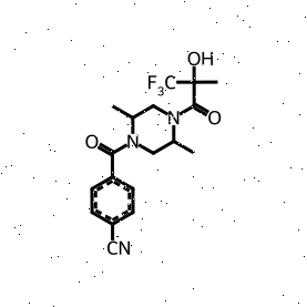 CC1CN(C(=O)C(C)(O)C(F)(F)F)C(C)CN1C(=O)c1ccc(C#N)cc1